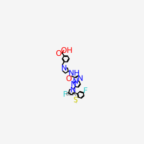 CSc1ccc(F)cc1[C@H]1C[C@H](F)CN1c1ccc2ncc(C(=O)NC3CCN(Cc4cccc(C(=O)O)c4)C3)n2n1